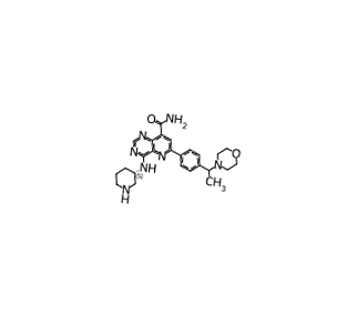 CC(c1ccc(-c2cc(C(N)=O)c3ncnc(N[C@H]4CCCNC4)c3n2)cc1)N1CCOCC1